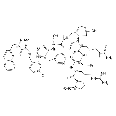 CC(=O)N[C@@H](Cc1ccc2ccccc2c1)C(=O)N[C@H](Cc1ccc(Cl)cc1)C(=O)N[C@@H](Cc1cccnc1)C(=O)N[C@H](CO)C(=O)N[C@H](Cc1ccc(O)cc1)C(=O)N[C@@H](CCCNC(N)=O)C(=O)N[C@@H](CC(C)C)C(=O)N[C@@H](CCCNC(=N)N)C(=O)N1CCC[C@H]1[C]=O